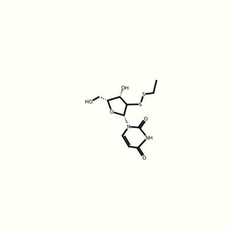 CCSSC1[C@@H](O)[C@@H](CO)O[C@H]1n1ccc(=O)[nH]c1=O